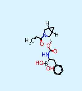 C=CC(=O)N1C[C@@H]2C[C@@H]2[C@@H]1COC(=O)NC(Cc1ccccc1)B(O)O